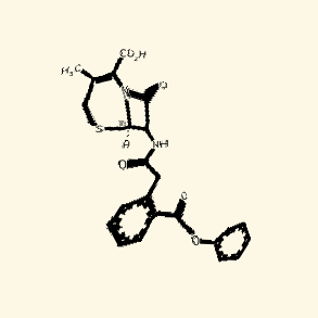 CC1=C(C(=O)O)N2C(=O)C(NC(=O)Cc3ccccc3C(=O)Oc3ccccc3)[C@H]2SC1